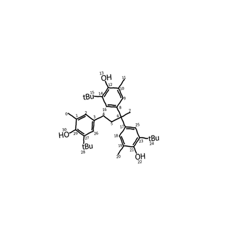 Cc1cc(CCC(C)(c2cc(C)c(O)c(C(C)(C)C)c2)c2cc(C)c(O)c(C(C)(C)C)c2)cc(C(C)(C)C)c1O